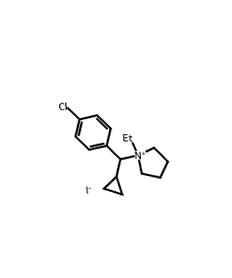 CC[N+]1(C(c2ccc(Cl)cc2)C2CC2)CCCC1.[I-]